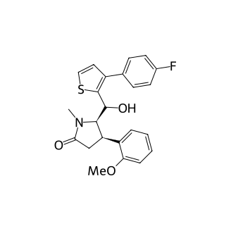 COc1ccccc1[C@H]1CC(=O)N(C)[C@H]1C(O)c1sccc1-c1ccc(F)cc1